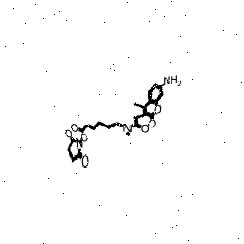 Cc1c(CC(=O)N(C)CCCCCC(=O)ON2C(=O)CCC2=O)c(=O)oc2cc(N)ccc12